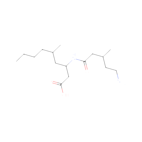 CCCCC(C)CC(CC(=O)O)NC(=O)CC(C)CCN